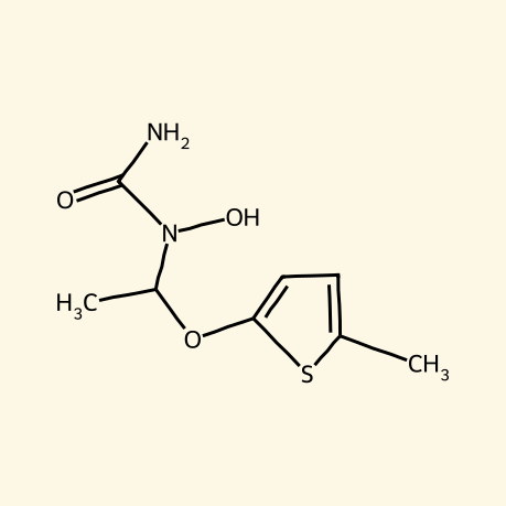 Cc1ccc(OC(C)N(O)C(N)=O)s1